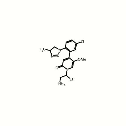 CCC(CN)n1cc(OC)c(-c2cc(Cl)ccc2N2CC(C(F)(F)F)N=N2)cc1=O